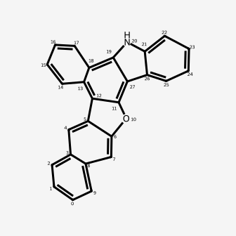 c1ccc2cc3c(cc2c1)oc1c3c2ccccc2c2[nH]c3ccccc3c21